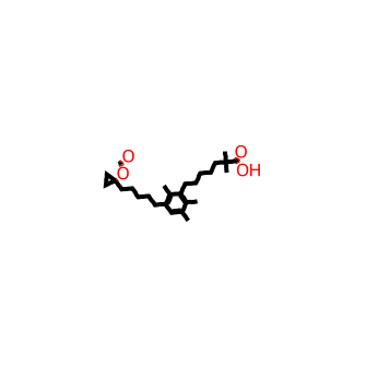 Cc1cc(CCCCCC2(OC=O)CC2)c(C)c(CCCCCC(C)(C)C(=O)O)c1C